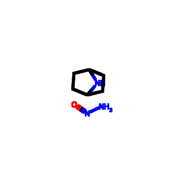 C1CC2CCC1N2.NN=O